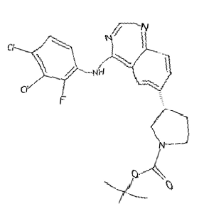 CC(C)(C)OC(=O)N1CC[C@@H](c2ccc3ncnc(Nc4ccc(Cl)c(Cl)c4F)c3c2)C1